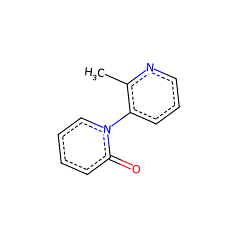 Cc1ncccc1-n1ccccc1=O